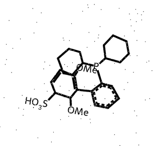 COC1=C(c2ccccc2P(C2CCCCC2)C2CCCCC2)C(OC)C(S(=O)(=O)O)C=C1